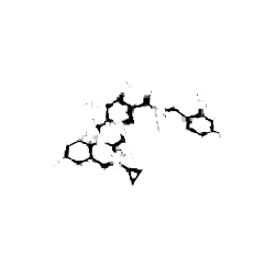 O=C(NCc1ccc(F)cc1F)c1cn2c(c(O)c1=O)C(=O)N1[C@H]3CCCCC3CN(C3CC3)[C@@H]1C2